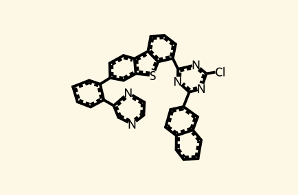 Clc1nc(-c2ccc3ccccc3c2)nc(-c2cccc3c2sc2cc(-c4ccccc4-c4cnccn4)ccc23)n1